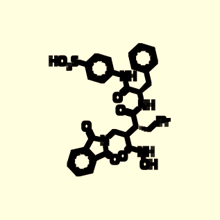 CC(C)C[C@@H](C(=O)N[C@H](Cc1ccccc1)C(=O)Nc1ccc(S(=O)(=O)O)cc1)C(CN1C(=O)c2ccccc2C1=O)C(=O)NO